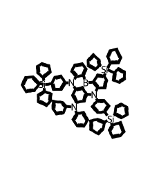 c1ccc(N(c2ccccc2)c2cc3c4c(c2)N(c2ccc([Si](c5ccccc5)(c5ccccc5)c5ccccc5)cc2)c2ccc([Si](c5ccccc5)(c5ccccc5)c5ccccc5)cc2B4c2ccccc2N3c2ccc([Si](c3ccccc3)(c3ccccc3)c3ccccc3)cc2)cc1